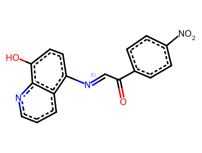 O=C(/C=N/c1ccc(O)c2ncccc12)c1ccc([N+](=O)[O-])cc1